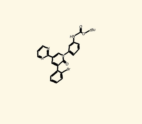 CC(C)(C)OC(=O)Nc1cccc(-n2cc(-c3ncccn3)cc(-c3ccccc3Br)c2=O)c1